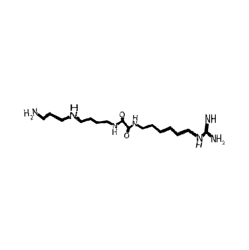 N=C(N)NCCCCCCNC(=O)C(=O)NCCCCNCCCN